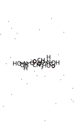 Cc1c(OCCCNCC(O)CO)cccc1-c1cccc(OCCCNC(CO)C(O)c2ccccc2)c1C